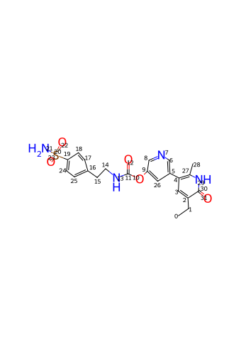 CCc1cc(-c2cncc(OC(=O)NCCc3ccc(S(N)(=O)=O)cc3)c2)c(C)[nH]c1=O